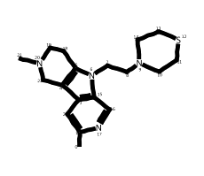 Cc1cc2c3c(n(CCN4CCSCC4)c2cn1)CCN(C)C3